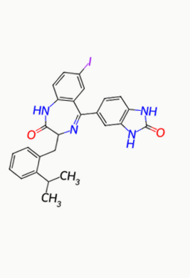 CC(C)c1ccccc1CC1N=C(c2ccc3[nH]c(=O)[nH]c3c2)c2cc(I)ccc2NC1=O